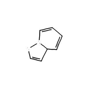 C1=CC2C=C[N]N2C=C1